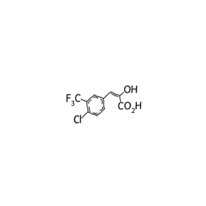 O=C(O)/C(O)=C\c1ccc(Cl)c(C(F)(F)F)c1